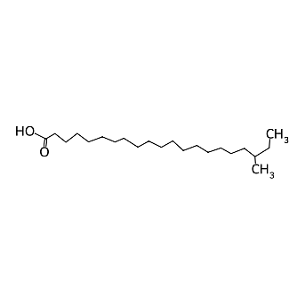 CCC(C)CCCCCCCCCCCCCCCCCC(=O)O